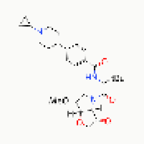 CO[C@@H]1CN(C(=O)C(NC(=O)c2ccc(C3CCN(C4CC4)CC3)cc2)C(C)(C)C)[C@@H]2C(=O)CO[C@@H]21